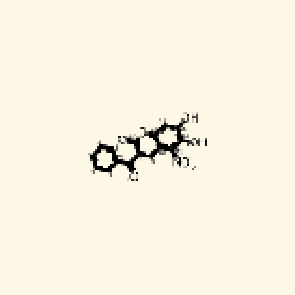 O=C(c1ccccc1)c1cc2c([N+](=O)[O-])c(O)c(O)cc2oc1=O